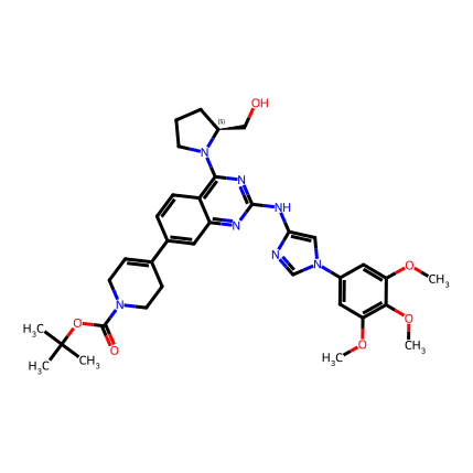 COc1cc(-n2cnc(Nc3nc(N4CCC[C@H]4CO)c4ccc(C5=CCN(C(=O)OC(C)(C)C)CC5)cc4n3)c2)cc(OC)c1OC